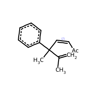 C=C(C)C(C)(/C=C\C(C)=O)c1ccccc1